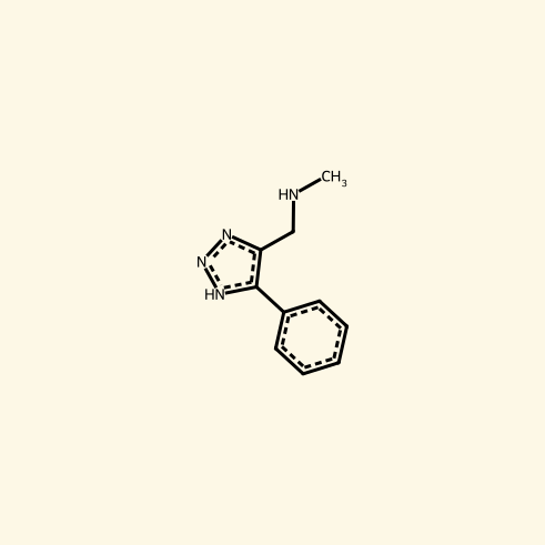 CNCc1nn[nH]c1-c1ccccc1